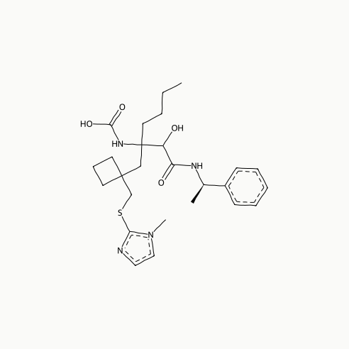 CCCCC(CC1(CSc2nccn2C)CCC1)(NC(=O)O)C(O)C(=O)N[C@H](C)c1ccccc1